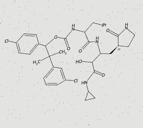 CC(C)CC(NC(=O)OC(c1ccc(Cl)cc1)C(C)(C)c1cccc(Cl)c1)C(=O)NC(C[C@@H]1CCNC1=O)C(O)C(=O)NC1CC1